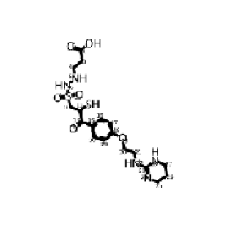 O=C(O)CCNNS(=O)(=O)CC(S)C(=O)c1ccc(OCCNC2=NCCCN2)cc1